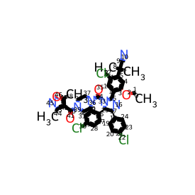 CCOc1cc(C(C)(C)C#N)c(Cl)cc1C1=N[C@@H](c2ccc(Cl)cc2)[C@@H](c2ccc(Cl)cc2)N1C(=O)N1CCN(C(=O)c2c(C)noc2C)CC1